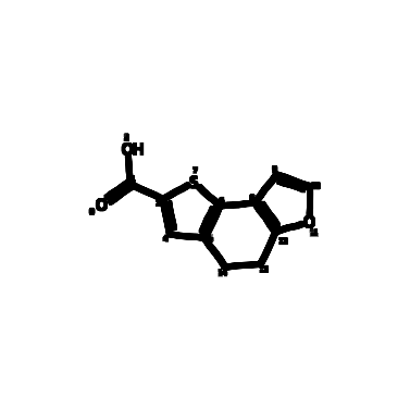 O=C(O)c1cc2c(s1)-c1ccoc1CC2